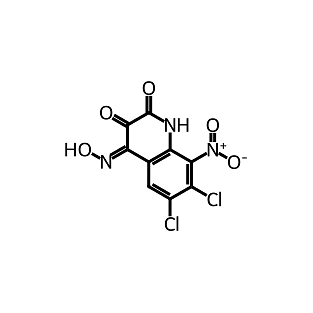 O=C1Nc2c(cc(Cl)c(Cl)c2[N+](=O)[O-])C(=NO)C1=O